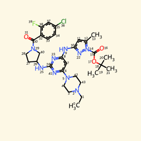 CCN1CCN(c2cc(Nc3cc(C)n(C(=O)OC(C)(C)C)n3)nc(NC3CCN(C(=O)c4ccc(Cl)cc4F)C3)n2)CC1